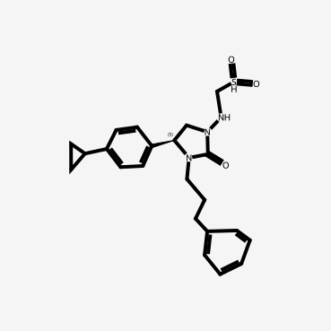 O=C1N(NC[SH](=O)=O)C[C@H](c2ccc(C3CC3)cc2)N1CCCc1ccccc1